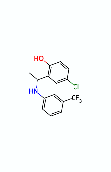 CC(Nc1cccc(C(F)(F)F)c1)c1cc(Cl)ccc1O